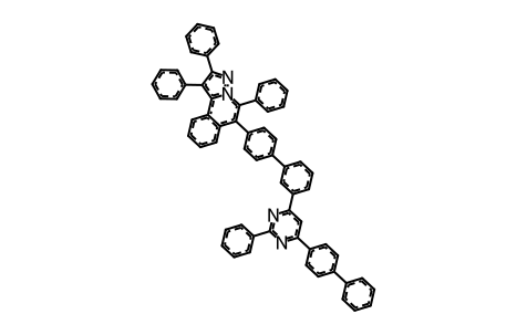 c1ccc(-c2ccc(-c3cc(-c4cccc(-c5ccc(-c6c(-c7ccccc7)n7nc(-c8ccccc8)c(-c8ccccc8)c7c7ccccc67)cc5)c4)nc(-c4ccccc4)n3)cc2)cc1